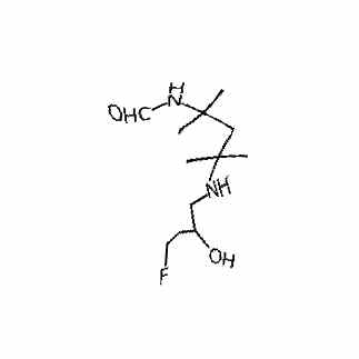 CC(C)(CC(C)(C)NCC(O)CF)NC=O